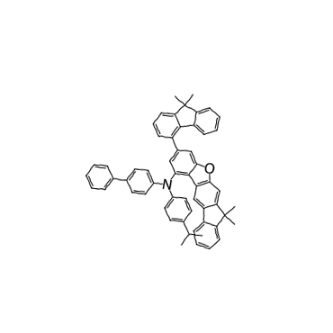 CC(C)c1ccc(N(c2ccc(-c3ccccc3)cc2)c2cc(-c3cccc4c3-c3ccccc3C4(C)C)cc3oc4cc5c(cc4c23)-c2ccccc2C5(C)C)cc1